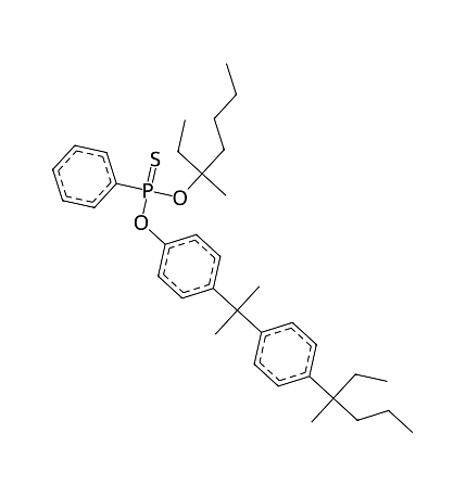 CCCCC(C)(CC)OP(=S)(Oc1ccc(C(C)(C)c2ccc(C(C)(CC)CCC)cc2)cc1)c1ccccc1